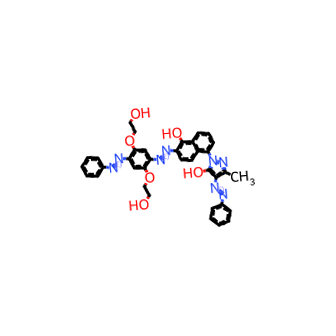 Cc1nn(-c2cccc3c(O)c(/N=N/c4cc(OCCO)c(/N=N/c5ccccc5)cc4OCCO)ccc23)c(O)c1/N=N/c1ccccc1